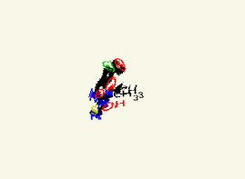 CC1(C)C[C@@H]1C(=O)N1CC2(C1)CN(C(O)c1cncs1)CC2c1nnc(Cc2ccc(C3CCOCC3)c(Cl)c2)o1